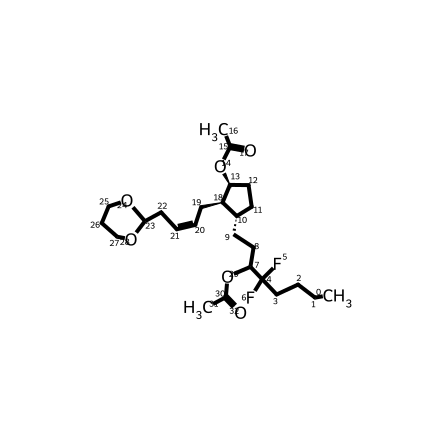 CCCCC(F)(F)C(CC[C@H]1CC[C@H](OC(C)=O)[C@@H]1C/C=C\CC1OCCCO1)OC(C)=O